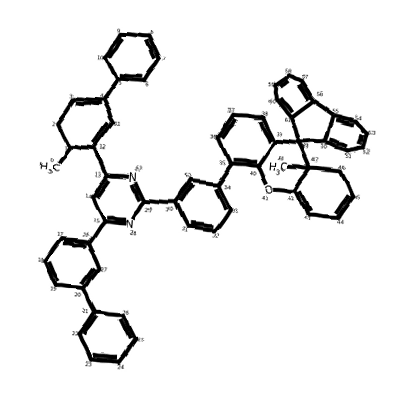 CC1CC=C(c2ccccc2)C=C1c1cc(-c2cccc(-c3ccccc3)c2)nc(-c2cccc(-c3cccc4c3OC3=CC=CCC3(C)C43c4ccccc4-c4ccccc43)c2)n1